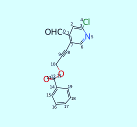 O=Cc1cc(Cl)ncc1C#CCOC(=O)c1ccccc1